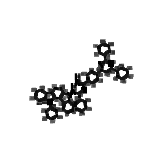 N=C(/N=C(\Nn1c2ccccc2c2c1ccc1c3ccccc3n(-c3ccccc3)c12)c1ccccc1)c1ccc(-c2cc(-c3ccccc3)nc(-c3ccccc3)n2)cc1